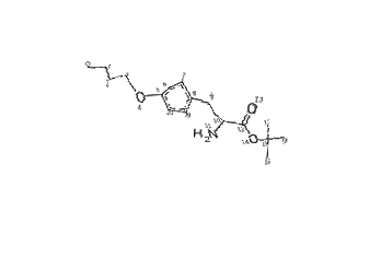 CCCCOc1ccc(CC(N)C(=O)OC(C)(C)C)cc1